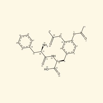 CC(=O)Oc1ccc(C[C@H](NC(=O)[C@H](N)Cc2ccccc2)C(=O)O)cc1OC(C)=O